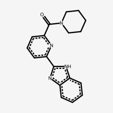 O=C(c1cccc(-c2nc3ccccc3[nH]2)n1)N1CCCCC1